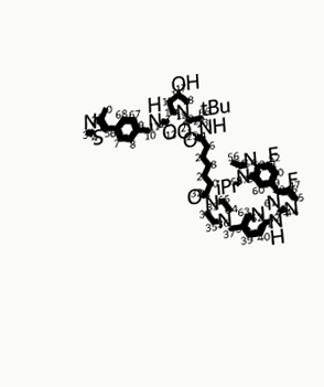 Cc1ncsc1-c1ccc(CNC(=O)[C@@H]2C[C@@H](O)CN2C(=O)C(NC(=O)CCCCCC(=O)N2CCN(Cc3ccc(Nc4ncc(F)c(-c5cc(F)c6nc(C)n(C(C)C)c6c5)n4)nc3)CC2)C(C)(C)C)cc1